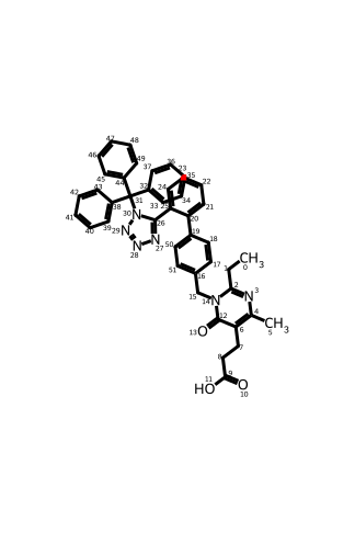 CCc1nc(C)c(CCC(=O)O)c(=O)n1Cc1ccc(-c2ccccc2-c2nnnn2C(c2ccccc2)(c2ccccc2)c2ccccc2)cc1